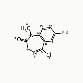 CN1C(=O)CN=C(Cl)c2cc(F)ccc21